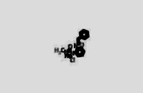 Cn1nc(Cl)n(-c2cccc3oc(Cc4ccccc4)nc23)c1=O